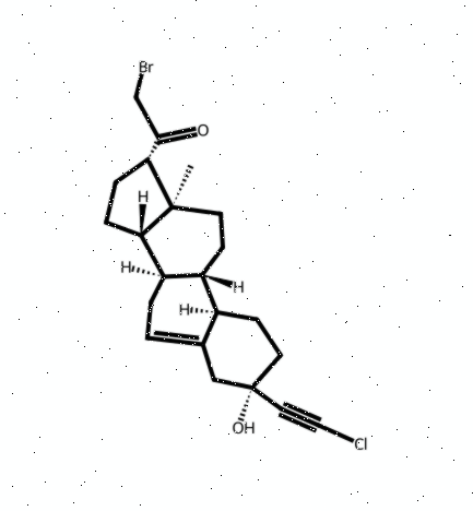 C[C@]12CC[C@H]3[C@@H](CC=C4C[C@](O)(C#CCl)CC[C@@H]43)[C@@H]1CC[C@@H]2C(=O)CBr